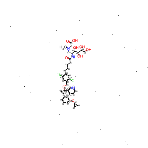 CN(CC(=O)O)C[C@@H](NC(=O)CCCCc1cc(Cl)c(COC2(c3cnccc3-c3ccccc3OC3CC3)CC2)cc1Cl)[C@H](O)[C@@H](O)[C@@H](O)CO